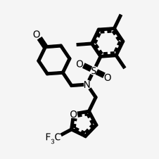 Cc1cc(C)c(S(=O)(=O)N(Cc2ccc(C(F)(F)F)o2)CC2CCC(=O)CC2)c(C)c1